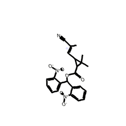 C/C(C#N)=C\C1C(C(=O)OC(c2ccccc2[N+](=O)[O-])c2ccccc2[N+](=O)[O-])C1(C)C